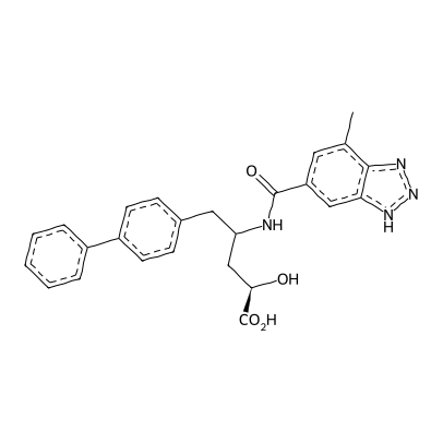 Cc1cc(C(=O)NC(Cc2ccc(-c3ccccc3)cc2)C[C@@H](O)C(=O)O)cc2[nH]nnc12